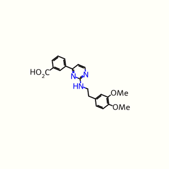 COc1ccc(CCNc2nccc(-c3cccc(C(=O)O)c3)n2)cc1OC